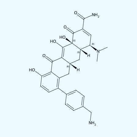 CN(C)[C@@H]1C=C(C(N)=O)C(=O)[C@@]2(O)C(O)=C3C(=O)c4c(O)ccc(-c5ccc(CN)cc5)c4C[C@H]3C[C@@H]12